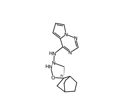 c1cc2c(NN3C[C@]4(CC5CCC4CC5)ON3)ncnn2c1